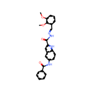 COc1cccc(C=NNC(=O)c2cc3cc(NC(=O)c4ccccc4)ccc3[nH]2)c1OC